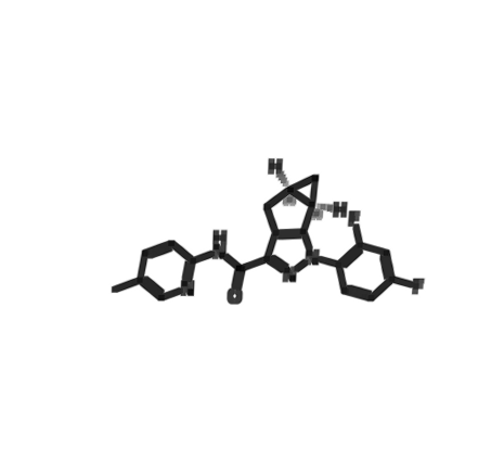 Cc1ccc(NC(=O)c2nn(-c3ccc(F)cc3F)c3c2C[C@H]2C[C@@H]32)nc1